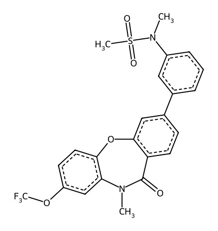 CN1C(=O)c2ccc(-c3cccc(N(C)S(C)(=O)=O)c3)cc2Oc2ccc(OC(F)(F)F)cc21